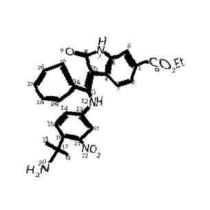 CCOC(=O)c1ccc2c(c1)NC(=O)C2=C(Nc1ccc(C(C)(C)N)c([N+](=O)[O-])c1)c1ccccc1